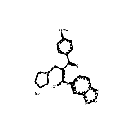 COc1ccc(C(=O)/C(CC2CCCC2)=C(/C(=O)[O-])c2ccc3nsnc3c2)cc1.[Na+]